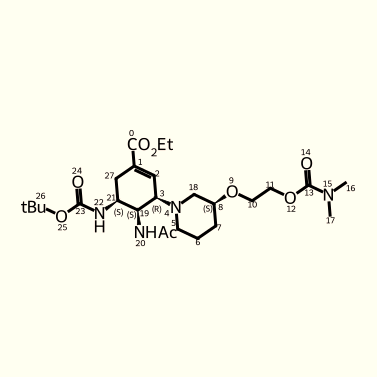 CCOC(=O)C1=C[C@@H](N2CCC[C@H](OCCOC(=O)N(C)C)C2)[C@@H](NC(C)=O)[C@@H](NC(=O)OC(C)(C)C)C1